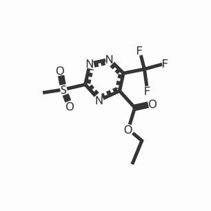 CCOC(=O)c1nc(S(C)(=O)=O)nnc1C(F)(F)F